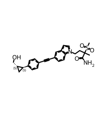 CC(CCn1ccc2cc(C#Cc3ccc([C@H]4C[C@@H]4CO)cc3)ccc21)(C(N)=O)S(C)(=O)=O